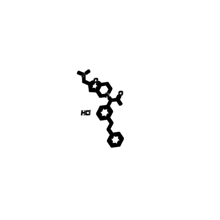 CC(=O)C(c1cccc(CCc2ccccc2)c1)N1CCc2oc(CN(C)C)cc2C1.Cl